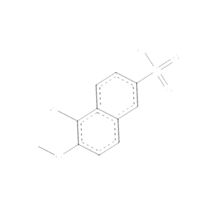 COc1ccc2cc(S(=O)(=O)Cl)ccc2c1Cl